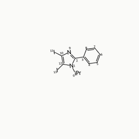 CC(C)n1c(-c2ccccc2)nc(I)c1I